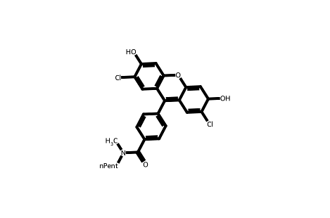 CCCCCN(C)C(=O)c1ccc(C2=C3C=C(Cl)C(O)C=C3Oc3cc(O)c(Cl)cc32)cc1